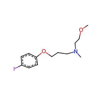 COCCN(C)CCCOc1ccc(I)cc1